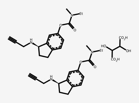 C#CCN[C@@H]1CCc2ccc(OC(=O)N(C)CC)cc21.C#CCN[C@@H]1CCc2ccc(OC(=O)N(C)CC)cc21.O=C(O)C(O)C(O)C(=O)O